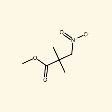 COC(=O)C(C)(C)C[N+](=O)[O-]